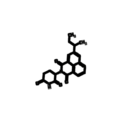 CCC(C)c1cc2c3c(cccc3c1)C(=O)N(C1CCC(=O)NC1=O)C2=O